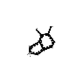 Cc1ccc2c[se]cc2c1C